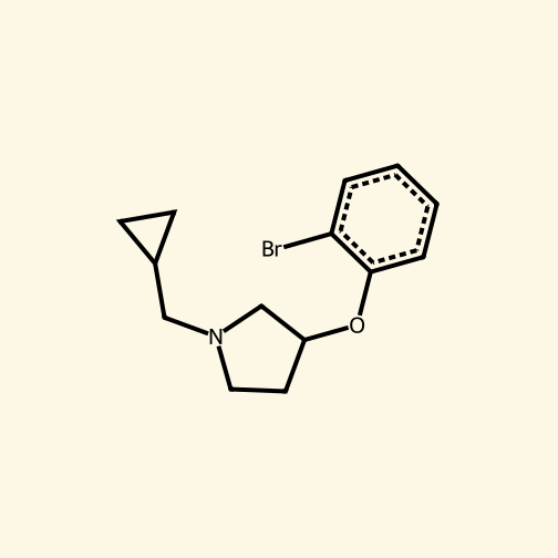 Brc1ccccc1OC1CCN(CC2CC2)C1